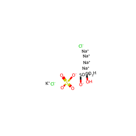 O=C(O)O.O=S(=O)([O-])O.O=S(=O)([O-])[O-].[Cl-].[Cl-].[K+].[Na+].[Na+].[Na+].[Na+]